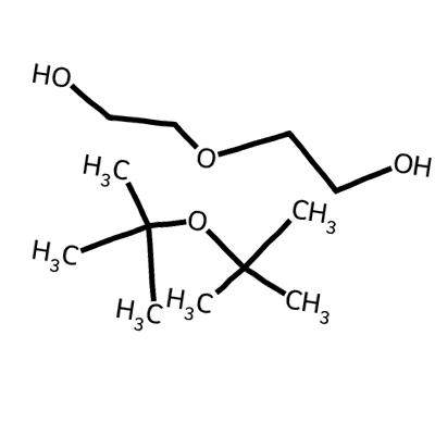 CC(C)(C)OC(C)(C)C.OCCOCCO